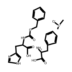 C[S+](C)[O-].NC(Cc1ccccc1)C(=O)O.O=C(NC(Cc1c[nH]cn1)C(=O)O)OCc1ccccc1